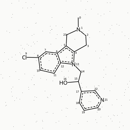 CN1CCc2c(c3cc(Cl)ccc3n2CC(O)c2cccnc2)C1